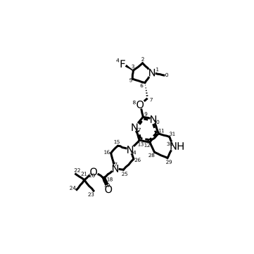 CN1C[C@H](F)C[C@H]1COc1nc2c(c(N3CCN(C(=O)OC(C)(C)C)CC3)n1)CCNC2